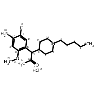 CCCCCN1CCC(C(C(C)=O)c2cc(Cl)c(N)cc2OC)CC1.Cl